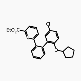 CCOC(=O)c1cccc(-c2ccccc2-c2cc(Cl)ccc2OC2CCCC2)n1